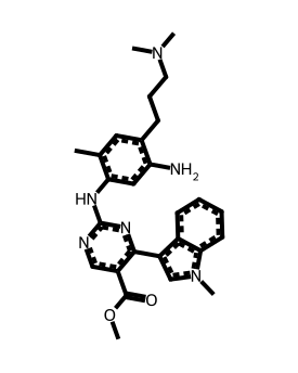 COC(=O)c1cnc(Nc2cc(N)c(CCCN(C)C)cc2C)nc1-c1cn(C)c2ccccc12